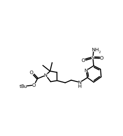 CC(C)(C)OC(=O)N1CC(CCNc2cccc(S(N)(=O)=O)n2)CC1(C)C